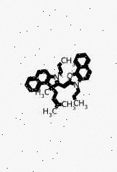 CCCN1/C(=C/C2=[N+](CCC)c3ccc4ccccc4c3C2(C)CC=C(C)C)Oc2c1ccc1ccccc21